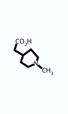 CN1CCC(CC(=O)O)CC1